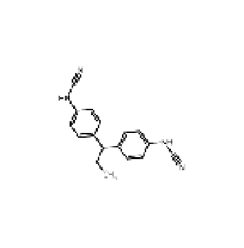 CCC(c1ccc(NC#N)cc1)c1ccc(NC#N)cc1